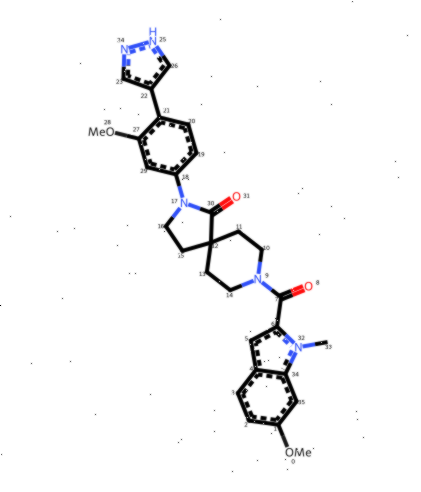 COc1ccc2cc(C(=O)N3CCC4(CC3)CCN(c3ccc(-c5cn[nH]c5)c(OC)c3)C4=O)n(C)c2c1